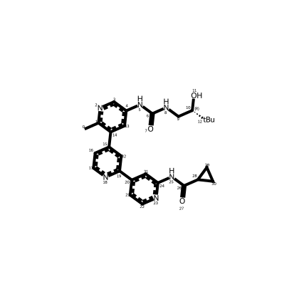 Cc1ncc(NC(=O)NC[C@H](O)C(C)(C)C)cc1-c1ccnc(-c2ccnc(NC(=O)C3CC3)c2)c1